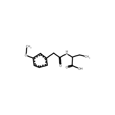 CCC(NC(=O)Cc1cccc(OC)c1)C(=O)O